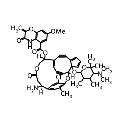 C=C1Oc2cc(OC)cc(C(=O)O[C@H]3COC(=O)C[C@H](N)c4cc(C)c(c(Cl)c4)O[C@@H]4C#C/C=C/3C#CC3=CC=C[C@@]34OC3OC(C)(C)C(N(C)C)C(C)C3C)c2NC1=O